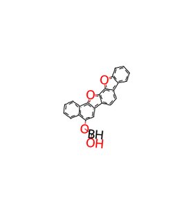 OBOc1cc2c3ccc4c5ccccc5oc4c3oc2c2ccccc12